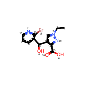 CCn1cc(C(O)c2cccnc2Br)c(C(=O)O)n1